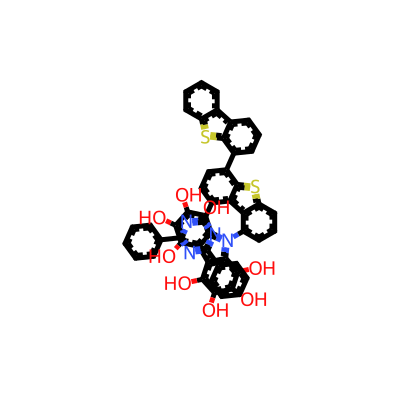 Oc1c(O)c(O)c2c(c1O)c1c(O)c(O)c(O)c(O)c1n2-c1cccc2sc3c(-c4cccc5c4sc4ccccc45)ccc(-c4nc(-c5ccccc5)nc(-c5ccccc5)n4)c3c12